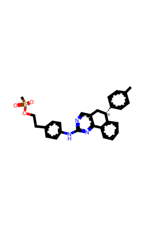 Cc1ccc([C@H]2Cc3cnc(Nc4ccc(CCOS(C)(=O)=O)cc4)nc3-c3ccccc32)cc1